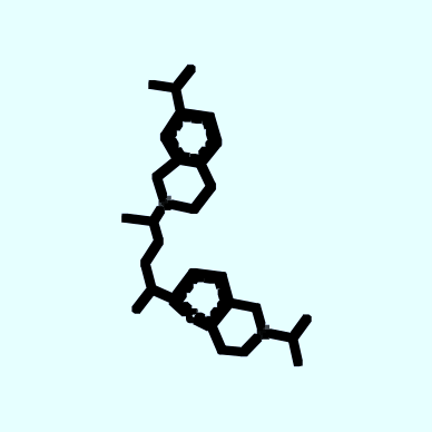 CC(C)c1ccc2c(c1)CN(C(C)CCC(C)c1ccc3c(c1)CCN(C(C)C)C3)CC2